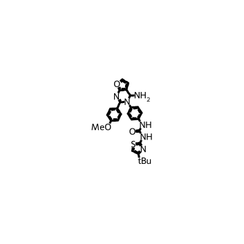 COc1ccc(C2=Nc3occc3C(N)N2c2ccc(NC(=O)Nc3nc(C(C)(C)C)cs3)cc2)cc1